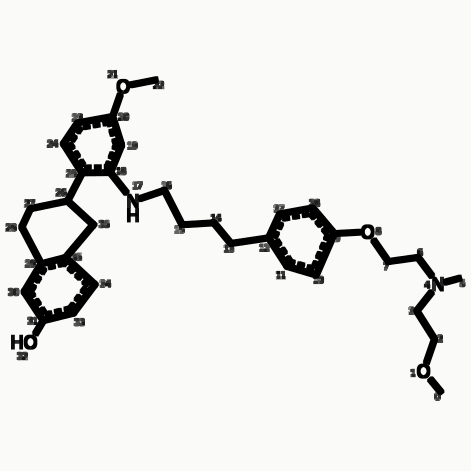 COCCN(C)CCOc1ccc(CCCCNc2cc(OC)ccc2C2CCc3cc(O)ccc3C2)cc1